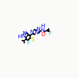 CSc1c(F)c(C(C)C)c2[nH]ncc2c1-c1cn2cc(NC(=O)C3CC3F)nc2cn1